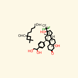 CCCCCCCCCCCCCCC1(C=O)CC(C)(C)C1.C[C@]12C[C@H](c3ccc(C(O)CO)cc3)C3=C4CCC(=O)C[C@]4(O)CC[C@H]3[C@@H]1CC[C@@]2(O)C(F)(F)C(F)(F)F